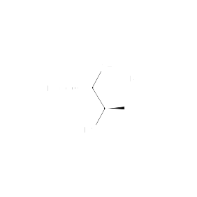 O=C(O)[C@@H](S)[C@@H](S)C(=O)O.[Tc]